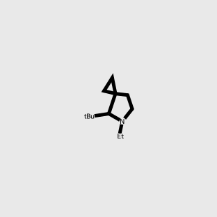 CCN1CCC2(CC2)C1C(C)(C)C